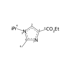 CCOC(=O)c1cn(C(C)C)c(C)n1